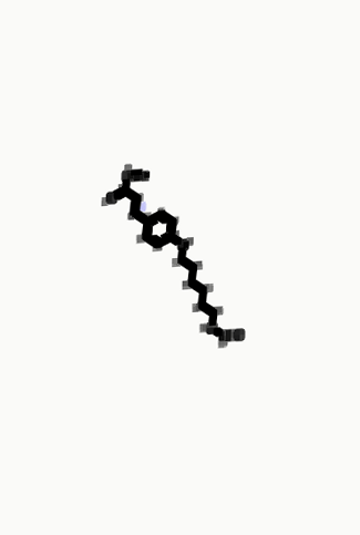 COC(=O)/C=C/c1ccc(OCCCCCCOC=O)cc1